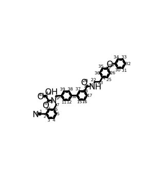 N#Cc1cccc(CN(Cc2ccc(-c3cccc(C(=O)NCCc4ccc(Oc5ccccc5)cc4)c3)cc2)C(=O)C(=O)O)c1